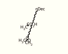 C=C(C)C(=O)OCCCCCCCCCCCCCCCCCCCCCCCCCCCCC.C=CC(=O)O